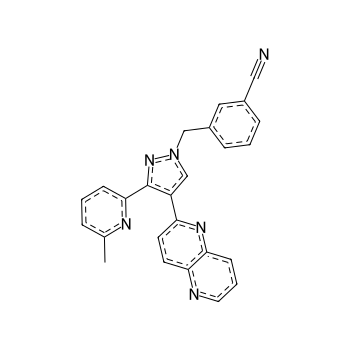 Cc1cccc(-c2nn(Cc3cccc(C#N)c3)cc2-c2ccc3ncccc3n2)n1